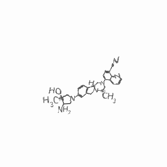 C[C@@H]1CN(c2ccc(C#N)c3ncccc23)C[C@@H]2c3ccc(N4CC(N)[C@](C)(O)C4)cc3CN12